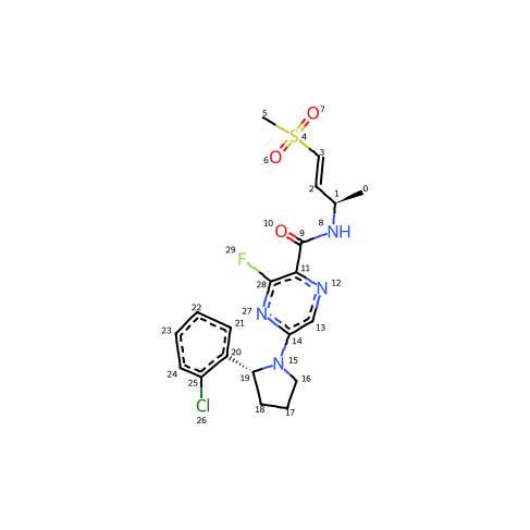 C[C@H](/C=C/S(C)(=O)=O)NC(=O)c1ncc(N2CCC[C@@H]2c2ccccc2Cl)nc1F